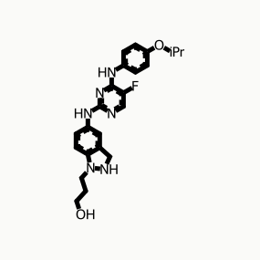 CC(C)Oc1ccc(Nc2nc(Nc3ccc4c(c3)CNN4CCCO)ncc2F)cc1